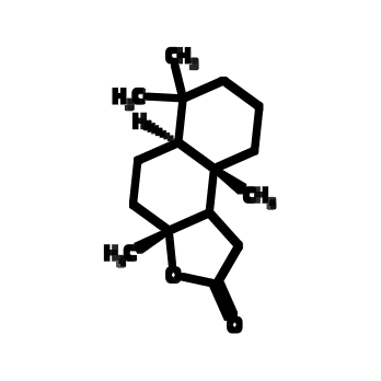 CC1(C)CCC[C@]2(C)C3CC(=O)O[C@]3(C)CC[C@@H]12